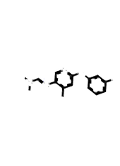 CCN(C)/C=N/c1cnc(Oc2cccc(C(F)(F)F)c2)cc1C